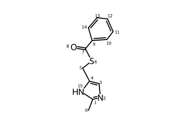 Cc1ncc(CSC(=O)c2ccccc2)[nH]1